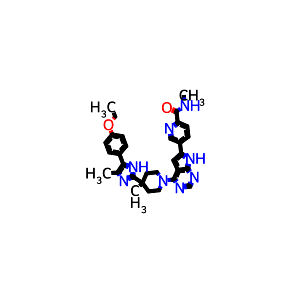 CCOc1ccc(-c2[nH]c(C3(C)CCN(c4ncnc5[nH]c(-c6ccc(C(=O)NC)nc6)cc45)CC3)nc2C)cc1